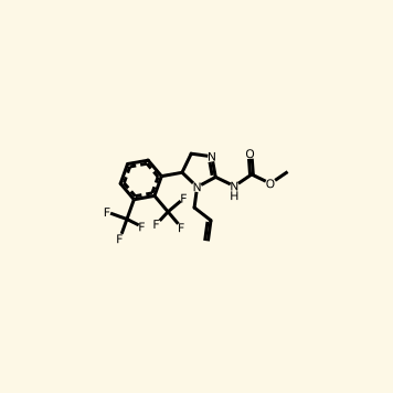 C=CCN1C(NC(=O)OC)=NCC1c1cccc(C(F)(F)F)c1C(F)(F)F